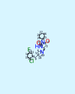 O=C1CC(CN2CCC(Cc3cc(F)ccc3Cl)CC2)NC(=O)N1c1ccccc1